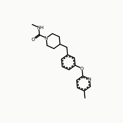 CNC(=O)N1CCC(Cc2cccc(Oc3ccc(C)cn3)c2)CC1